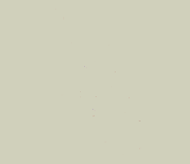 COC(=O)Cn1c(C)cc(CC2CCCCC2)c(N)c1=O